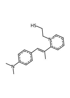 C/C(=C\c1ccc(N(C)C)cc1)c1cccc[n+]1CCS